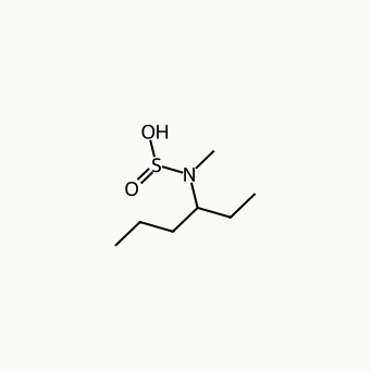 CCCC(CC)N(C)S(=O)O